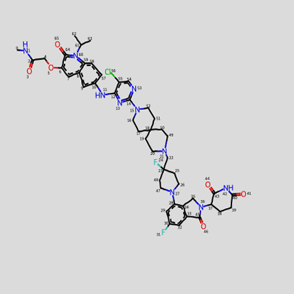 CNC(=O)COc1cc2cc(Nc3nc(N4CCC5(CCN(CC6(F)CCN(c7cc(F)cc8c7CN(C7CCC(=O)NC7=O)C8=O)CC6)CC5)CC4)ncc3Cl)ccc2n(C(C)C)c1=O